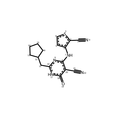 N#Cc1sccc1Nc1nc(CC2CCCC2)[nH]c(=O)c1C#N